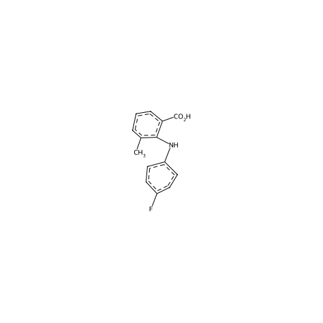 Cc1cccc(C(=O)O)c1Nc1ccc(F)cc1